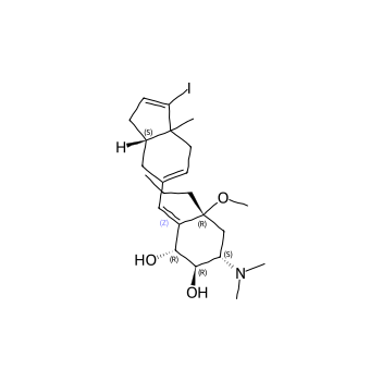 CCC[C@@]1(OC)C[C@H](N(C)C)[C@@H](O)[C@H](O)/C1=C/C1=CCC2(C)C(I)=CC[C@H]2C1